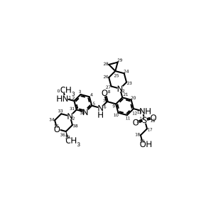 CNc1ccc(NC(=O)c2ccc(NS(=O)(=O)CCO)cc2N2CCC3(CC2)CC3)nc1N1CCO[C@H](C)C1